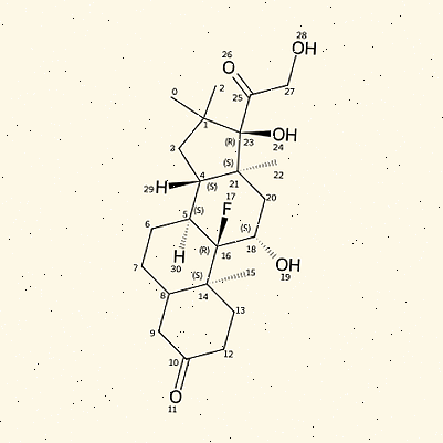 CC1(C)C[C@H]2[C@@H]3CCC4CC(=O)CC[C@]4(C)[C@@]3(F)[C@@H](O)C[C@]2(C)[C@@]1(O)C(=O)CO